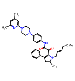 COCC=CCn1c(C)cc(-c2ccccc2)c1C(=O)C(=O)Nc1ccc(N2CCN(c3cc(C)cc(C)n3)CC2)cc1